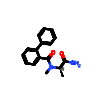 C[C@@H](C(N)=O)N(C)C(=O)c1ccccc1-c1ccccc1